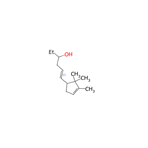 CCC(O)C/C=C/C1CC=C(C)C1(C)C